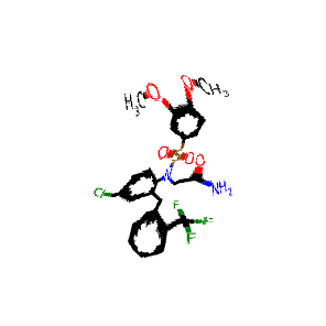 COc1ccc(S(=O)(=O)N(CC(N)=O)c2ccc(Cl)cc2Cc2ccccc2C(F)(F)F)cc1OC